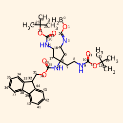 BOC=NCCC(CCNC(=O)OC(C)(C)C)(CCNC(=O)OC(C)(C)C)NC(=O)OCC1c2ccccc2-c2ccccc21